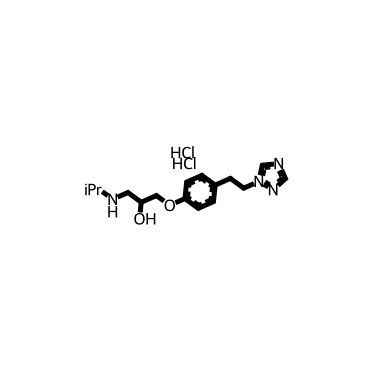 CC(C)NCC(O)COc1ccc(CCn2cncn2)cc1.Cl.Cl